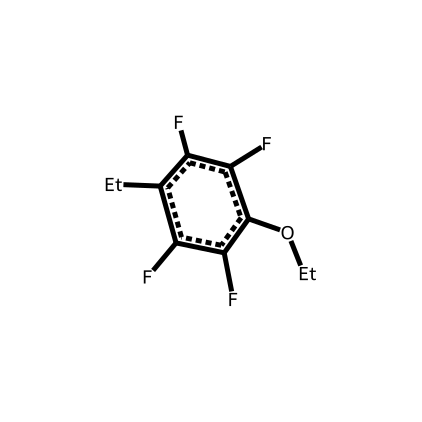 CCOc1c(F)c(F)c(CC)c(F)c1F